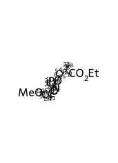 CCOC(=O)CC(c1cccc(OCc2noc(-c3cc(OC)ccc3F)c2CC(C)C)c1)C1CC1